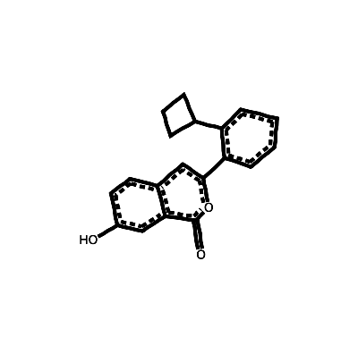 O=c1oc(-c2ccccc2C2CCC2)cc2ccc(O)cc12